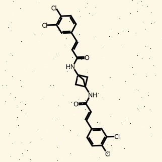 O=C(/C=C/c1ccc(Cl)c(Cl)c1)NC12CC(NC(=O)/C=C/c3ccc(Cl)c(Cl)c3)(C1)C2